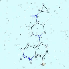 Brc1ccc(N2CCC(NC3CC3)CC2)c2ccnnc12